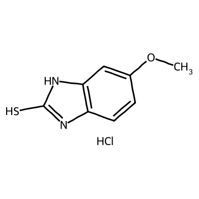 COc1ccc2nc(S)[nH]c2c1.Cl